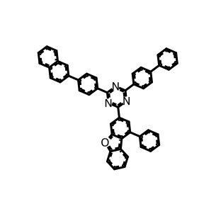 c1ccc(-c2ccc(-c3nc(-c4ccc(-c5ccc6ccccc6c5)cc4)nc(-c4cc(-c5ccccc5)c5c(c4)oc4ccccc45)n3)cc2)cc1